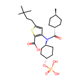 CC(C)(C)CCc1cc(N(C(=O)[C@H]2CC[C@H](C)CC2)[C@H]2CC[C@H](OP(=O)(O)O)CC2)c(C(=O)O)s1